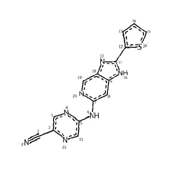 N#Cc1cnc(Nc2cc3[nH]c(-c4cccs4)nc3cn2)cn1